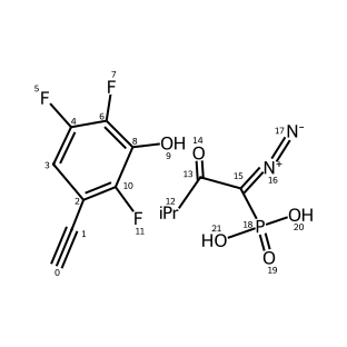 C#Cc1cc(F)c(F)c(O)c1F.CC(C)C(=O)C(=[N+]=[N-])P(=O)(O)O